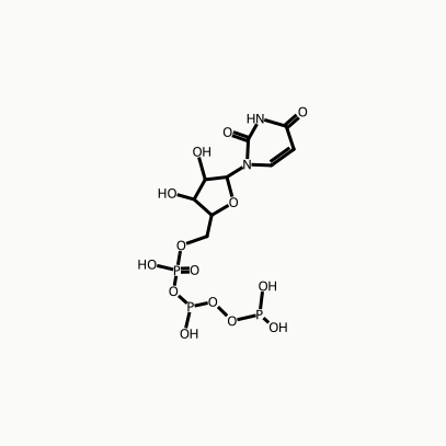 O=c1ccn(C2OC(COP(=O)(O)OP(O)OOP(O)O)C(O)C2O)c(=O)[nH]1